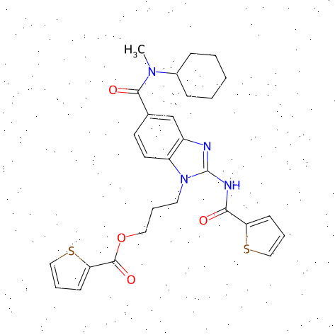 CN(C(=O)c1ccc2c(c1)nc(NC(=O)c1cccs1)n2CCCOC(=O)c1cccs1)C1CCCCC1